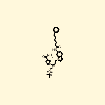 CC(C)(C)[Si](C)(C)OC[C@@H](CCn1ccc2ccc(NC(=O)CCCCCc3ccccc3)cc21)n1cnc(C(N)=O)c1